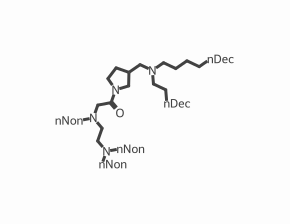 CCCCCCCCCCCCCCN(CCCCCCCCCCCC)CC1CCN(C(=O)CN(CCCCCCCCC)CCN(CCCCCCCCC)CCCCCCCCC)C1